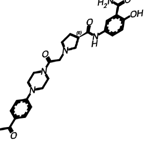 CC(=O)c1ccc(N2CCN(C(=O)CN3CC[C@@H](C(=O)Nc4ccc(O)c(C(N)=O)c4)C3)CC2)cc1